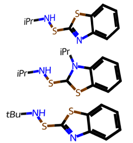 CC(C)(C)NSc1nc2ccccc2s1.CC(C)NSC1Sc2ccccc2N1C(C)C.CC(C)NSc1nc2ccccc2s1